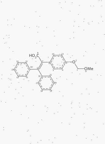 COCOc1ccc(C(C(=O)O)=C(c2ccccc2)c2ccccc2)cc1